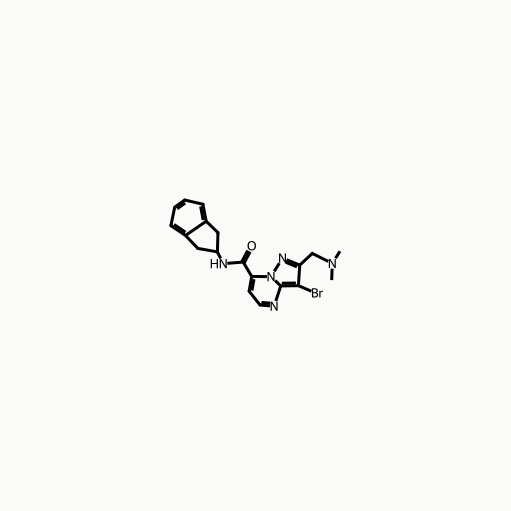 CN(C)Cc1nn2c(C(=O)NC3Cc4ccccc4C3)ccnc2c1Br